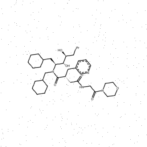 CC(C)C[C@H](O)[C@H](O)[C@H](CC1CCCCC1)N(CC1CCCCC1)C(=O)[C@@H](CC(=O)NCC(=O)N1CCOCC1)Cc1cccnc1